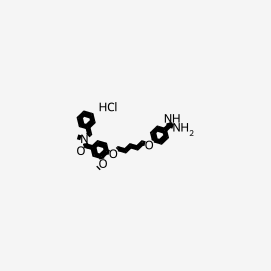 COc1cc(C(=O)N(C)Cc2ccccc2)ccc1OCCCCCOc1ccc(C(=N)N)cc1.Cl